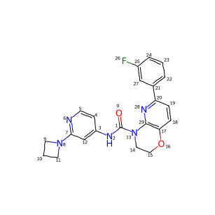 O=C(Nc1ccnc(N2CCC2)c1)N1CCOc2ccc(-c3cccc(F)c3)nc21